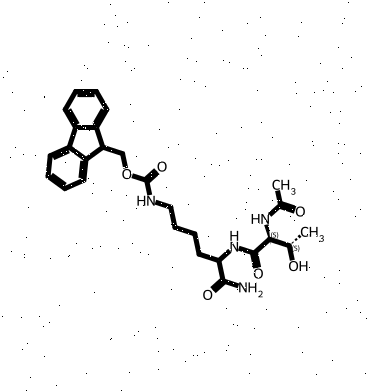 CC(=O)N[C@H](C(=O)NC(CCCCNC(=O)OCC1c2ccccc2-c2ccccc21)C(N)=O)[C@H](C)O